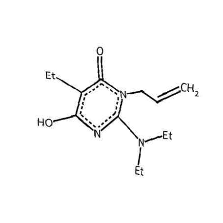 C=CCn1c(N(CC)CC)nc(O)c(CC)c1=O